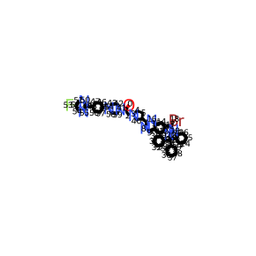 O=C(CN1CCC(c2ncc3cc4c(cc3n2)c(Br)nn4C(c2ccccc2)(c2ccccc2)c2ccccc2)C1)N1CCN(c2ccc(-c3ncc(F)cn3)cc2)CC1